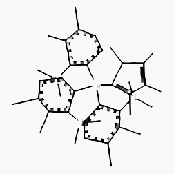 CC1=C(C)C(C)C([Si](c2ccc(C)c(C)c2N(C)C)(c2ccc(C)c(C)c2N(C)C)c2ccc(C)c(C)c2N(C)C)=C1C